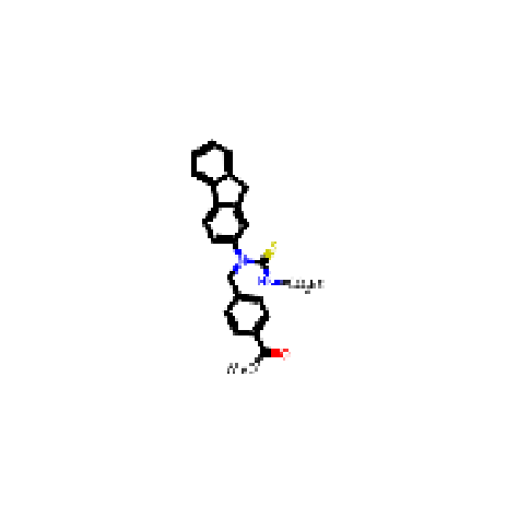 CCOC(=O)NC(=S)N(Cc1ccc(C(=O)OC)cc1)c1ccc2c(c1)Cc1ccccc1-2